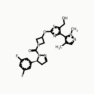 Cc1cnn(C)c1-c1nc(OC2CN(C(=O)N3N=CC[C@H]3c3cc(F)cc(F)c3)C2)sc1CO